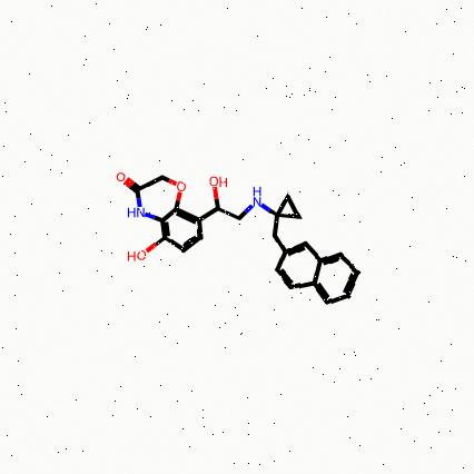 O=C1COc2c(C(O)CNC3(Cc4ccc5ccccc5c4)CC3)ccc(O)c2N1